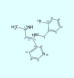 CC(=N)/C=C(\NCc1ccccc1F)c1cccnc1